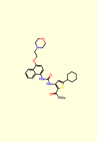 CNC(=O)c1sc(C2CCCCC2)cc1NC(=O)Nc1ccc(OCCN2CCOCC2)c2ccccc12